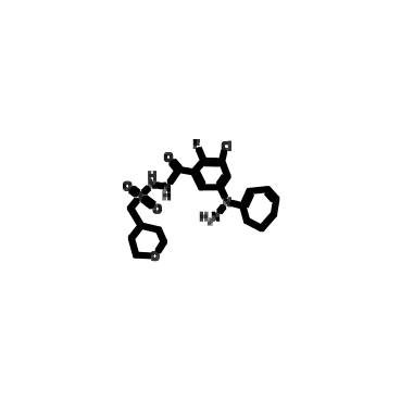 NN(C1=CC=CCCC1)c1cc(Cl)c(F)c(C(=O)NNS(=O)(=O)CC2CCOCC2)c1